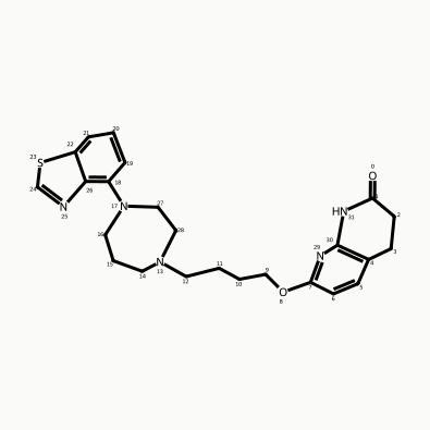 O=C1CCc2ccc(OCCCCN3CCCN(c4cccc5scnc45)CC3)nc2N1